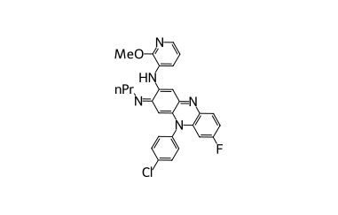 CCCN=c1cc2n(-c3ccc(Cl)cc3)c3cc(F)ccc3nc-2cc1Nc1cccnc1OC